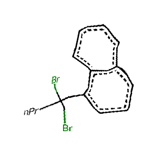 CCCC(Br)(Br)c1cccc2ccccc12